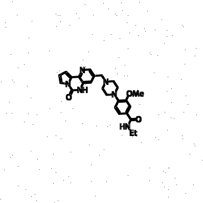 CCNC(=O)c1ccc(N2CCN(Cc3cnc4c(c3)[nH]c(=O)n3cccc43)CC2)c(OC)c1